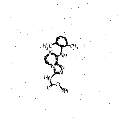 Cc1cccc(C)c1Nc1nccn2c(NC(=O)OC(C)C)nnc12